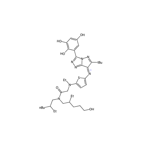 CCCCC(CC)CN(CC(CC)CCCO)C(=O)CN(CC)c1ccc(/N=C2/C(C(C)(C)C)=Nn3c2nnc3-c2cc(O)cc(O)c2O)s1